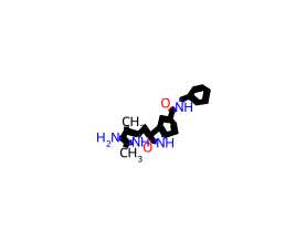 Cc1[nH]c(/C=C2\C(=O)Nc3ccc(C(=O)NCc4ccccc4)cc32)c(C)c1N